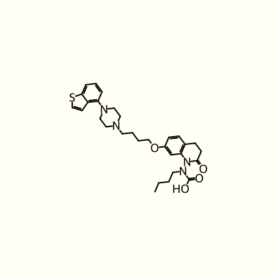 CCCCN(C(=O)O)N1C(=O)CCc2ccc(OCCCCN3CCN(c4cccc5sccc45)CC3)cc21